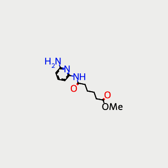 COC(=O)CCCCC(=O)Nc1cccc(N)n1